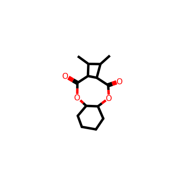 CC1C(C)C2C(=O)OC3CCCCC3OC(=O)C12